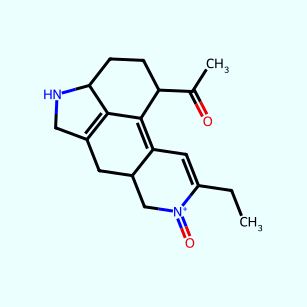 CCC1=CC2=C3C4=C(CNC4CCC3C(C)=O)CC2C[N+]1=O